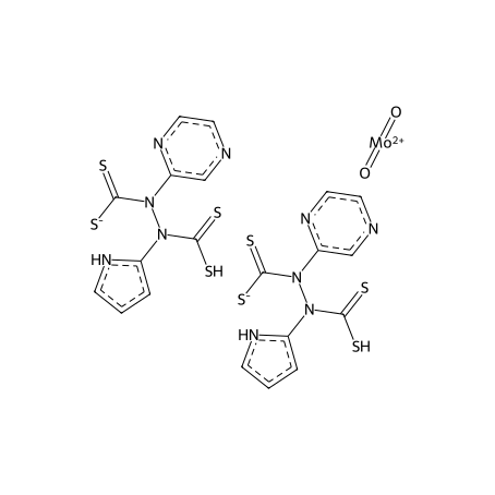 S=C([S-])N(c1cnccn1)N(C(=S)S)c1ccc[nH]1.S=C([S-])N(c1cnccn1)N(C(=S)S)c1ccc[nH]1.[O]=[Mo+2]=[O]